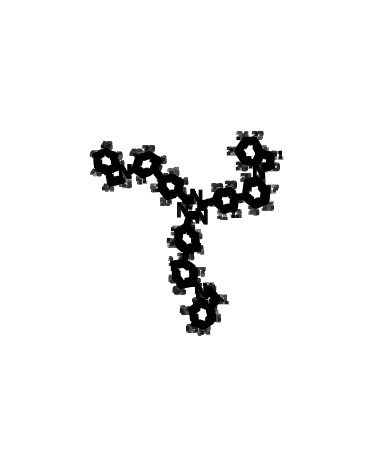 c1cc(-c2ccc(-c3nc(-c4ccc(-c5cccc(-n6ccc7ccccc76)c5)cc4)nc(-c4ccc(-c5cccc(-n6ccc7ccccc76)c5)cc4)n3)cc2)cc(-n2ccc3ccccc32)c1